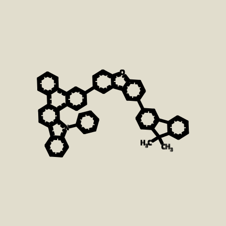 CC1(C)c2ccccc2-c2cc(-c3ccc4oc5ccc(-c6ccc7c(c6)c6ccccc6c6ccc8c9ccccc9n(-c9ccccc9)c8c67)cc5c4c3)ccc21